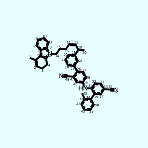 CC1=CCCc2c1c1ccccc1n2CCC/C=C\C(C)c1cccc(-c2ccc(Nc3ccc(C#N)cc3-c3ccccc3C)cc2C#N)c1